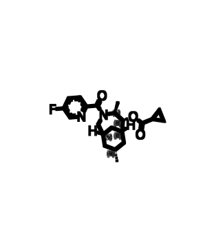 C[C@@H]1C[C@H]2C[C@@H](C1)[C@@H](OC(=O)C1CC1)[C@H](C)N(C(=O)c1ccc(F)cn1)C2